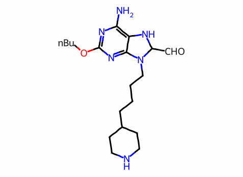 CCCCOc1nc(N)c2c(n1)N(CCCCC1CCNCC1)C(C=O)N2